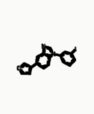 Ic1cccc(-n2cnc3cc(-c4ccoc4)ccc32)c1